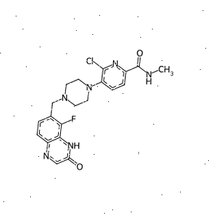 CNC(=O)c1ccc(N2CCN(Cc3ccc4ncc(=O)[nH]c4c3F)CC2)c(Cl)n1